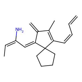 C=C/C=C\C1=C(C)C(=C)/C(=C\C(N)=C/C)C12CCCC2